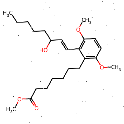 CCCCCC(O)C=Cc1c(OC)ccc(OC)c1CCCCCCC(=O)OC